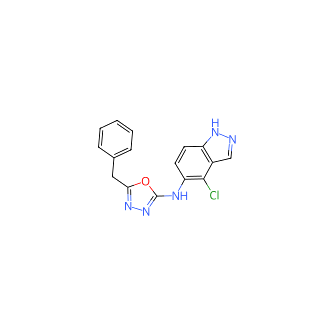 Clc1c(Nc2nnc(Cc3ccccc3)o2)ccc2[nH]ncc12